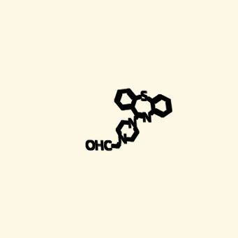 O=CCN1CCN(C2=Nc3ccccc3Sc3ccccc32)CC1